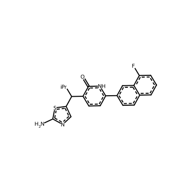 CC(C)C(c1cnc(N)s1)c1ccc(-c2ccc3cccc(F)c3c2)[nH]c1=O